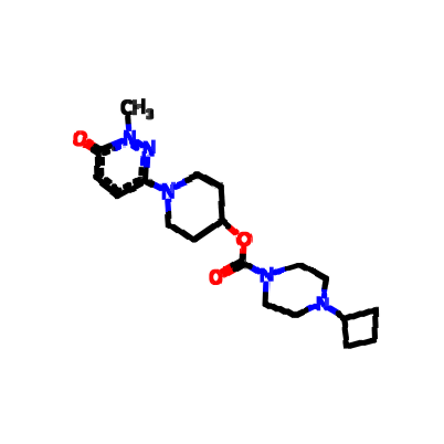 Cn1nc(N2CCC(OC(=O)N3CCN(C4CCC4)CC3)CC2)ccc1=O